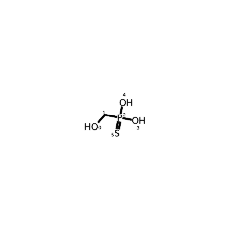 OCP(O)(O)=S